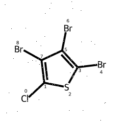 Clc1sc(Br)c(Br)c1Br